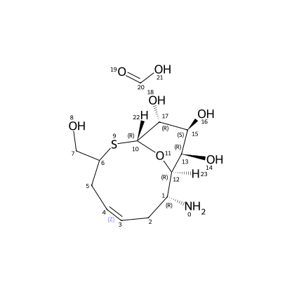 N[C@@H]1C/C=C\CC(CO)S[C@H]2O[C@H]1[C@H](O)[C@H](O)[C@H]2O.O=CO